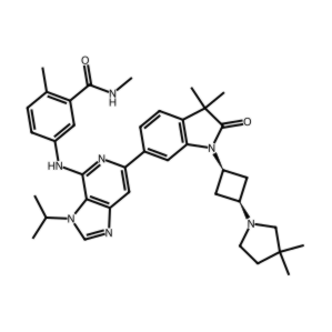 CNC(=O)c1cc(Nc2nc(-c3ccc4c(c3)N([C@H]3C[C@@H](N5CCC(C)(C)C5)C3)C(=O)C4(C)C)cc3ncn(C(C)C)c23)ccc1C